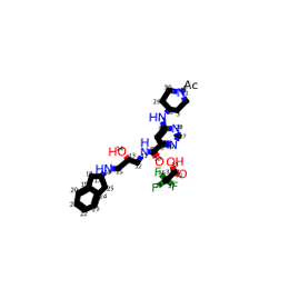 CC(=O)N1CCC(Nc2cc(C(=O)NCC(O)CNC3Cc4ccccc4C3)ncn2)CC1.O=C(O)C(F)(F)F